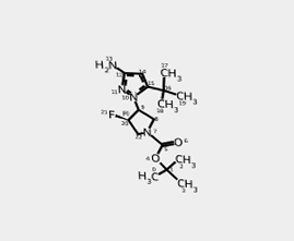 CC(C)(C)OC(=O)N1CC(n2nc(N)cc2C(C)(C)C)[C@H](F)C1